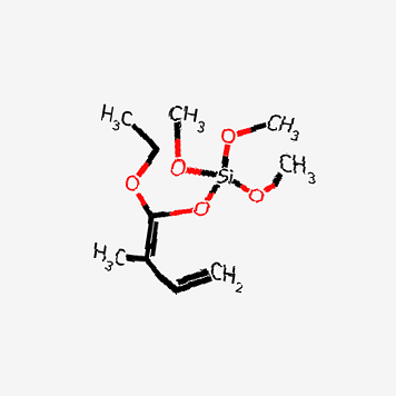 C=CC(C)=C(OCC)O[Si](OC)(OC)OC